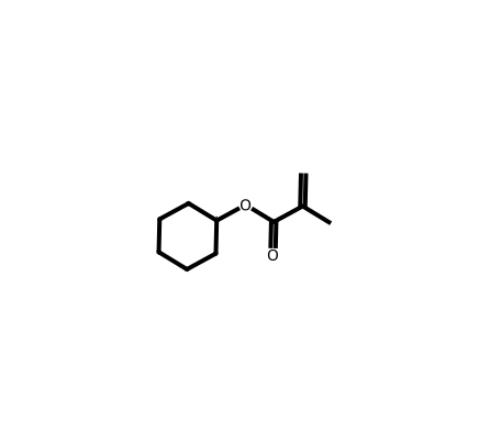 C=C(C)C(=O)O[C]1CCCCC1